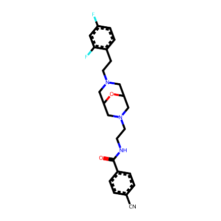 N#Cc1ccc(C(=O)NCCN2CC3CN(CCc4ccc(F)cc4F)CC(C2)O3)cc1